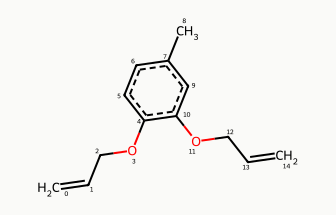 C=CCOc1ccc(C)cc1OCC=C